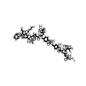 CCCCCON(C(=O)[C@@H](NC(=O)[C@H]1CCCCN1C)[C@@H](C)CC)[C@H](C[C@@H](OC(=O)NC)c1nc(C(=O)N[C@@H](Cc2ccc(NC(=O)OCc3ccc(NC(=O)[C@H](CCCNC(N)=O)NC(=O)[C@@H](N)C(C)C)cc3)cc2)CC(C)(C)C(=O)O)cs1)C(C)C